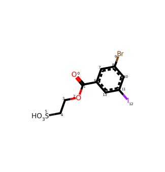 O=C(OCCS(=O)(=O)O)c1cc(Br)cc(I)c1